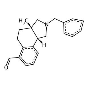 C[C@]12CCc3c(C=O)cccc3[C@H]1CN(Cc1ccccc1)C2